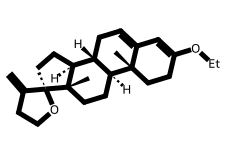 C=C1CCO[C@@]12CC[C@H]1[C@@H]3CC=C4C=C(OCC)CC[C@]4(C)[C@H]3CC[C@@]12C